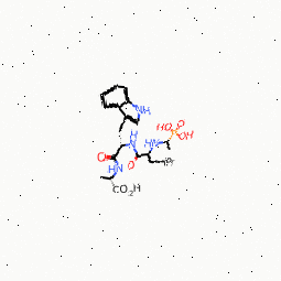 CC(C)CC(NC(C)P(=O)(O)O)C(=O)N[C@@H](Cc1c[nH]c2ccccc12)C(=O)N[C@@H](C)C(=O)O